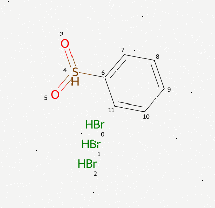 Br.Br.Br.O=[SH](=O)c1ccccc1